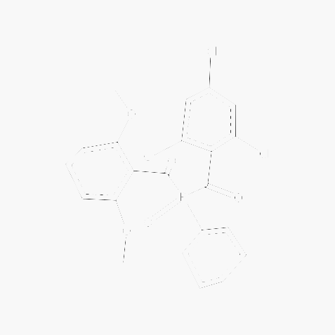 COc1cccc(OC)c1C(=O)P(=O)(C(=O)c1c(Cl)cc(Cl)cc1Cl)c1ccccc1